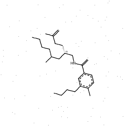 C=C(C)CC[C@H](CNC(=C)c1ccc(C)c(CCCC)c1)CC(C)CCCC